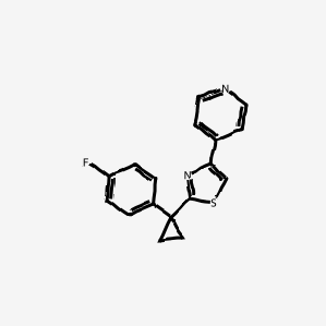 Fc1ccc(C2(c3nc(-c4ccncc4)cs3)CC2)cc1